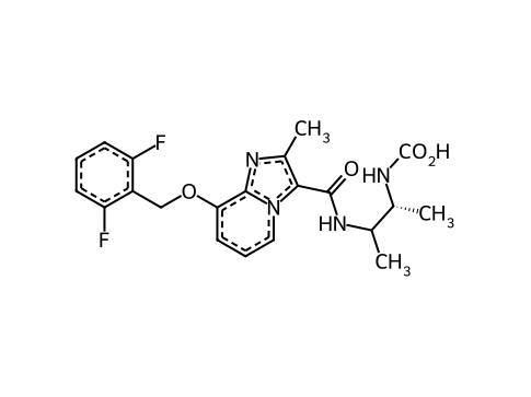 Cc1nc2c(OCc3c(F)cccc3F)cccn2c1C(=O)NC(C)[C@@H](C)NC(=O)O